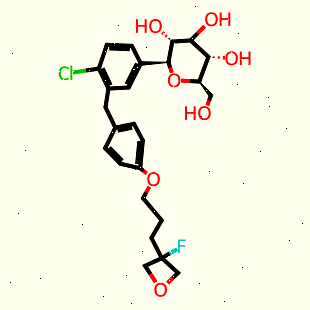 OC[C@H]1O[C@@H](c2ccc(Cl)c(Cc3ccc(OCCCC4(F)COC4)cc3)c2)[C@H](O)C(O)[C@@H]1O